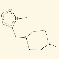 CN1CCN(Cc2cccn2C)CC1